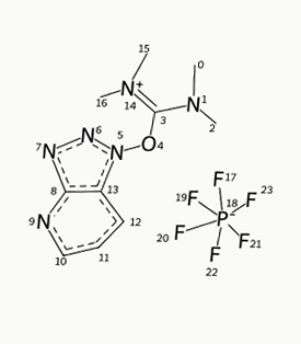 CN(C)C(On1nnc2ncccc21)=[N+](C)C.F[P-](F)(F)(F)(F)F